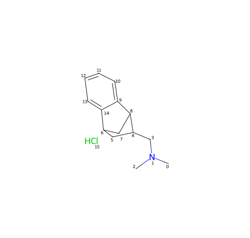 CN(C)CC1CC2CC1c1ccccc12.Cl